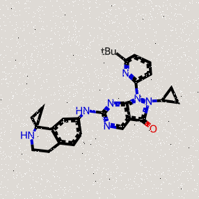 CC(C)(C)c1cccc(-n2c3nc(Nc4ccc5c(c4)C4(CC4)NCC5)ncc3c(=O)n2C2CC2)n1